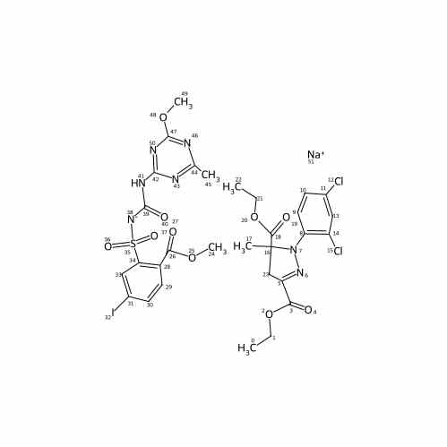 CCOC(=O)C1=NN(c2ccc(Cl)cc2Cl)C(C)(C(=O)OCC)C1.COC(=O)c1ccc(I)cc1S(=O)(=O)[N-]C(=O)Nc1nc(C)nc(OC)n1.[Na+]